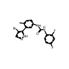 Cc1ccc(NC(=O)Nc2ccc(F)cc2F)cc1-c1[nH]ncc1Br